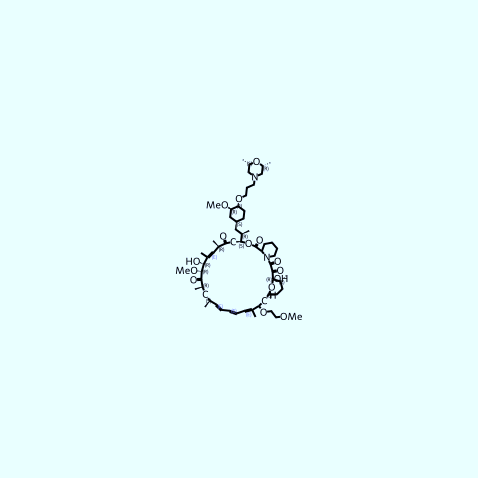 COCCOC1C[C@@H]2CC[C@@H](C)[C@@](O)(O2)C(=O)C(=O)N2CCCCC2C(=O)O[C@H]([C@H](C)C[C@@H]2CC[C@@H](OCCCN3C[C@@H](C)O[C@@H](C)C3)[C@H](OC)C2)CC(=O)[C@H](C)/C=C(\C)[C@@H](O)[C@@H](OC)C(=O)[C@H](C)C[C@H](C)/C=C/C=C/C=C/1C